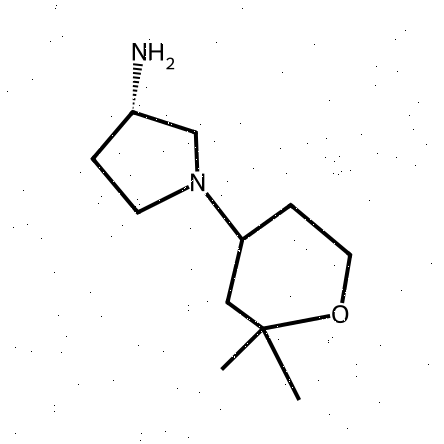 CC1(C)CC(N2CC[C@H](N)C2)CCO1